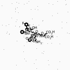 CC(C)(C)[C@H](c1cc(-c2cc(F)ccc2F)cn1Cc1ccccc1)N(CC[C@H](NC(=O)[C@@H](CC(N)=O)NC(=O)CN1C(=O)C=CC1=O)C(=O)NCCC(=O)N[C@H](CCC(=O)O)C(=O)O)C(=O)CO